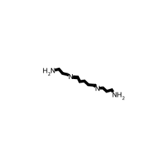 NCCC/N=C/CCC/C=N/CCCN